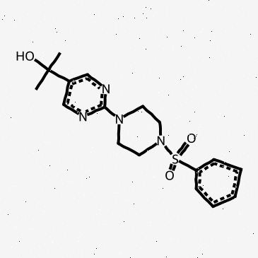 CC(C)(O)c1cnc(N2CCN(S(=O)(=O)c3ccccc3)CC2)nc1